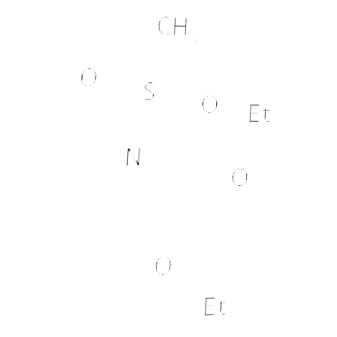 CCOC(=NS(C)(=O)=O)OCC